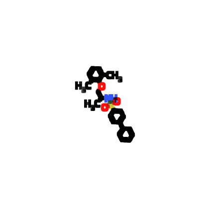 Cc1cccc(C)c1OCC(C)NS(=O)(=O)c1ccc(-c2ccccc2)cc1